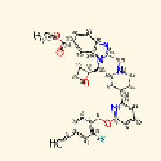 C#Cc1ccc(COc2cccc(C3CCN(Cc4nc5ccc(C(=O)OC)cc5n4C[C@@H]4CCO4)CC3)n2)c(F)c1